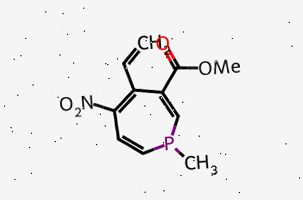 C=CC1=C([N+](=O)[O-])C=CP(C)C=C1C(=O)OC